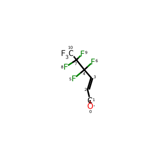 [O]CC=CC(F)(F)C(F)(F)C(F)(F)F